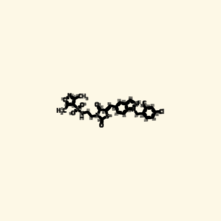 Cc1noc(C)c1S(=O)(=O)NCCN1C(=O)S/C(=C\c2ccc3c(cnn3Cc3ccc(Cl)cc3C(F)(F)F)c2)C1=O